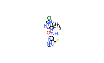 C[C@@]1(C(F)(F)F)CN(C(=O)Nc2cnc(-n3nccn3)c(C(F)F)c2)c2cnc3cc(Cl)nn3c21